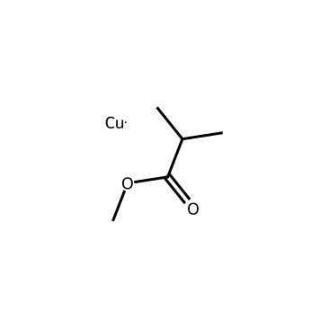 COC(=O)C(C)C.[Cu]